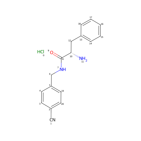 Cl.N#Cc1ccc(CNC(=O)[C@@H](N)Cc2ccccc2)cc1